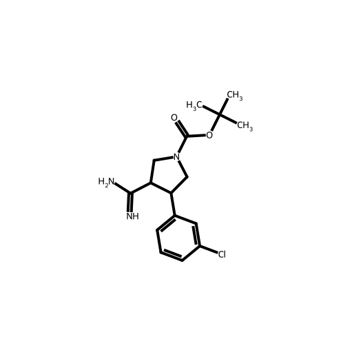 CC(C)(C)OC(=O)N1CC(C(=N)N)C(c2cccc(Cl)c2)C1